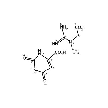 CN(CC(=O)O)C(=N)N.O=C(O)c1cc(=O)[nH]c(=O)[nH]1